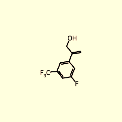 C=C(CO)c1cc(F)cc(C(F)(F)F)c1